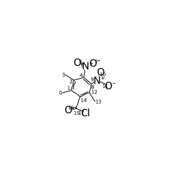 Cc1c(C)c([N+](=O)[O-])c([N+](=O)[O-])c(C)c1C(=O)Cl